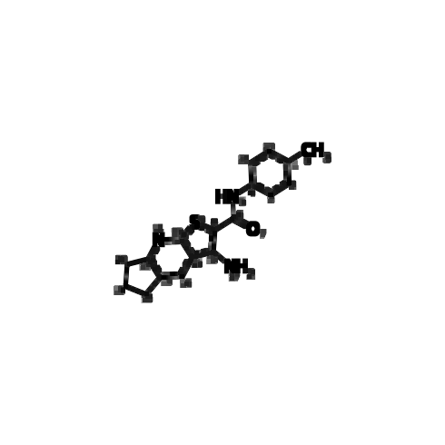 Cc1ccc(NC(=O)c2sc3nc4c(cc3c2N)CCC4)cc1